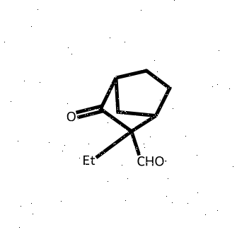 CCC1([C]=O)C(=O)C2CCC1C2